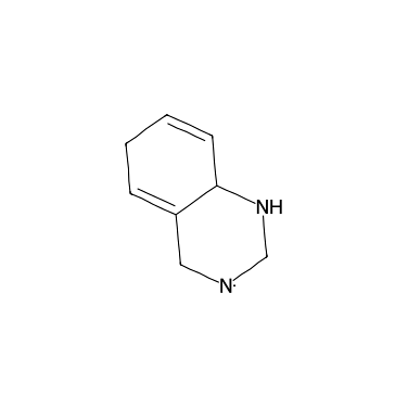 C1=CC2NC[N]CC2=CC1